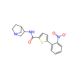 O=C(NC1CN2CCC1C2)c1ccc(-c2ccccc2[N+](=O)[O-])s1